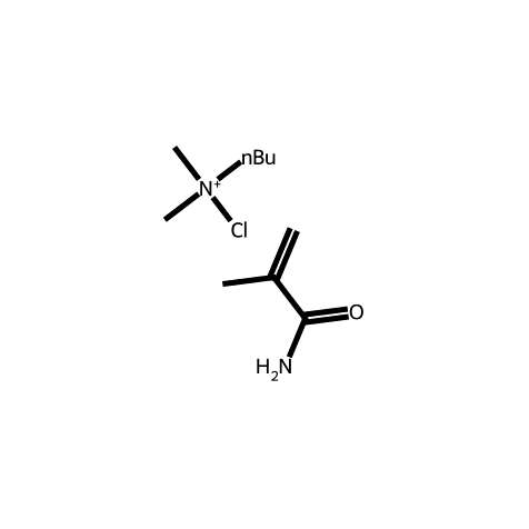 C=C(C)C(N)=O.CCCC[N+](C)(C)Cl